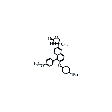 CC(C)(C)C1CCC(Oc2ccc3cc([C@]4(C)COC(=O)N4)ccc3c2-c2ccc(OC(F)(F)F)cc2)CC1